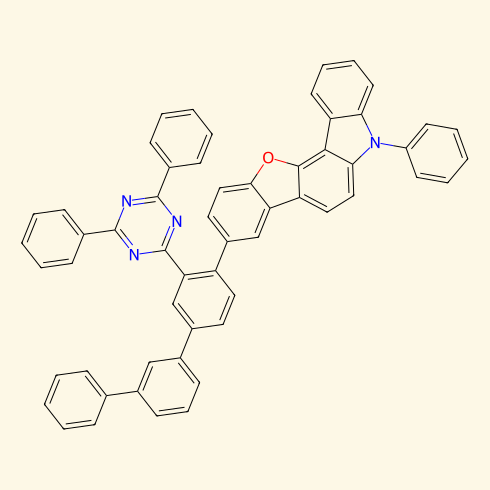 c1ccc(-c2cccc(-c3ccc(-c4ccc5oc6c(ccc7c6c6ccccc6n7-c6ccccc6)c5c4)c(-c4nc(-c5ccccc5)nc(-c5ccccc5)n4)c3)c2)cc1